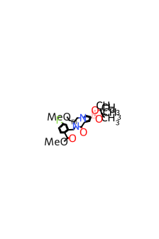 COC[C@H]1Cn2cc(B3OC(C)(C)C(C)(C)O3)cc2C(=O)N1Cc1cc(F)ccc1C(=O)OC